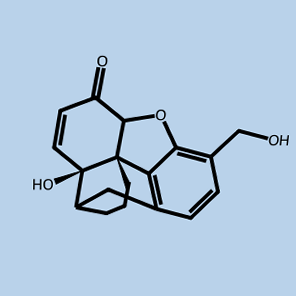 O=C1C=C[C@@]2(O)C3CCC[C@@]24c2c(ccc(CO)c2OC14)C3